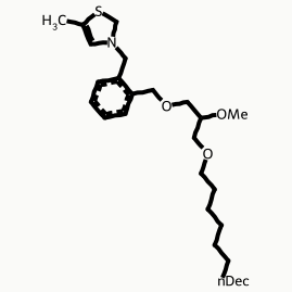 CCCCCCCCCCCCCCCCOCC(COCc1ccccc1CN1C=C(C)SC1)OC